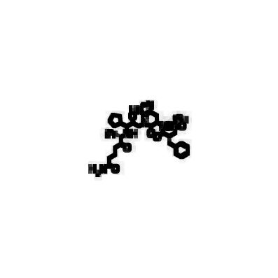 CC(C)[C@H](NC(C(=O)CNC(=O)C(Cc1c[nH]cn1)NC(=O)[C@H](Cc1ccccc1)CS(=O)(=O)C(C)(C)C)C1CCCC1)C(=O)CCCC(N)=O